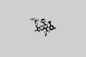 CCOC(=O)C1=C(CN2CC(F)C(COCC(=O)O)C2)NC(c2nccs2)=N[C@H]1c1ccc(F)cc1C1CC1